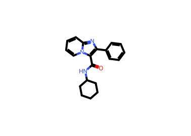 O=C(NC1CCCCC1)c1c(-c2ccccc2)nc2ccccn12